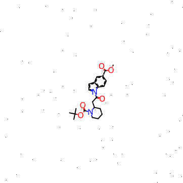 COC(=O)c1ccc2c(ccn2C(=O)CC2CCCCN2C(=O)OC(C)(C)C)c1